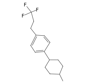 CC1CCC(c2ccc(CCC(F)(F)F)cc2)CC1